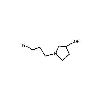 CC(C)CCCN1CCC(O)C1